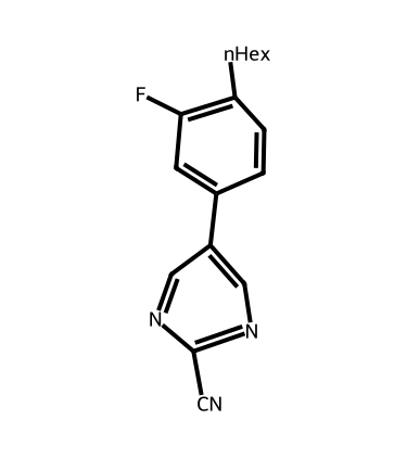 CCCCCCc1ccc(-c2cnc(C#N)nc2)cc1F